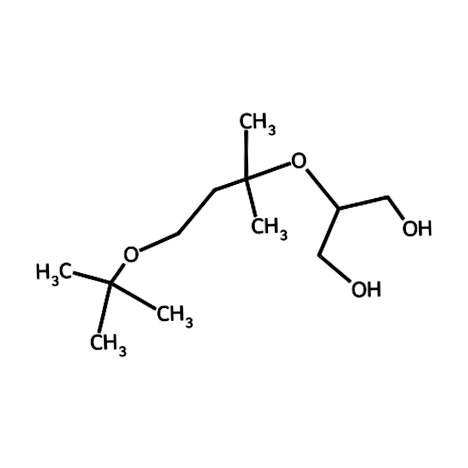 CC(C)(C)OCCC(C)(C)OC(CO)CO